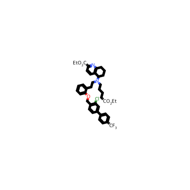 CCOC(=O)CCCCN(CCc1ccccc1OCc1ccc(-c2ccc(C(F)(F)F)cc2)cc1Cl)C1CCCc2nc(C(=O)OCC)ccc21